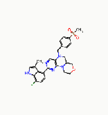 Cc1c[nH]c2c(F)ccc(-c3ncc4c(n3)N3CCOCC3CN4Cc3ccc(S(C)(=O)=O)cc3)c12